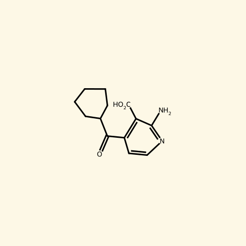 Nc1nccc(C(=O)C2CCCCC2)c1C(=O)O